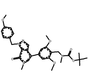 COc1ccc(Cn2ncc3c(-c4cc(OC)c(CN(C)C(=O)OC(C)(C)C)c(OC)c4)cn(C)c(=O)c32)cc1